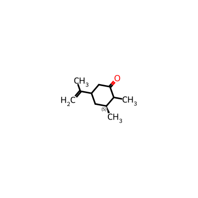 C=C(C)C1CC(=O)C(C)[C@@H](C)C1